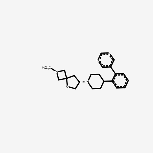 O=C(O)N1CC2(C[C@H](N3CCC(c4ccccc4-c4cncnc4)CC3)CO2)C1